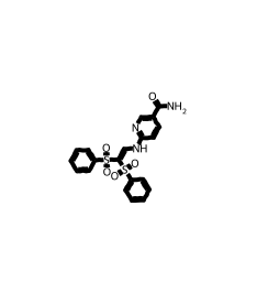 NC(=O)c1ccc(NC=C(S(=O)(=O)c2ccccc2)S(=O)(=O)c2ccccc2)nc1